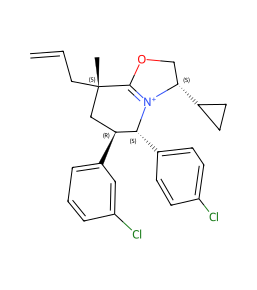 C=CC[C@@]1(C)C[C@H](c2cccc(Cl)c2)[C@@H](c2ccc(Cl)cc2)[N+]2=C1OC[C@@H]2C1CC1